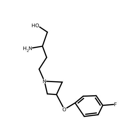 NC(CO)CCN1CC(Oc2ccc(F)cc2)C1